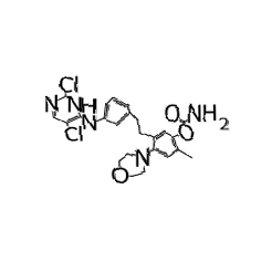 Cc1cc(N2CCOCC2)c(CCc2cccc(Nc3nc(Cl)ncc3Cl)c2)cc1OC(N)=O